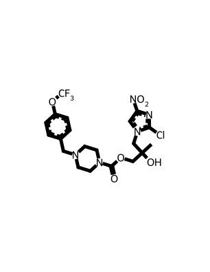 CC(O)(COC(=O)N1CCN(Cc2ccc(OC(F)(F)F)cc2)CC1)Cn1cc([N+](=O)[O-])nc1Cl